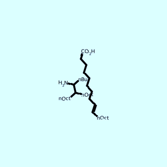 CCCCCCCCC(CCCCCCCC)C(N)CCCC.CCCCCCCCC=CCCCCCCCC(=O)O